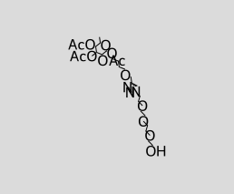 CC(=O)OC1C(C)OC(OCCCCOCc2cn(CCOCCOCCOCCO)nn2)C(OC(C)=O)C1OC(C)=O